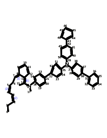 CC/C=C\C=C/C/C=c1/cccc/c1=C(/C)N(C)c1ccc(-c2ccc(N(c3ccc(-c4ccccc4)cc3)c3ccc(-c4ccccc4)cc3)cc2)cc1